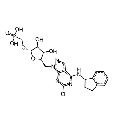 O=P(O)(O)CO[C@H]1O[C@H](Cn2ncc3c(NC4CCc5ccccc54)nc(Cl)nc32)[C@H](O)[C@@H]1O